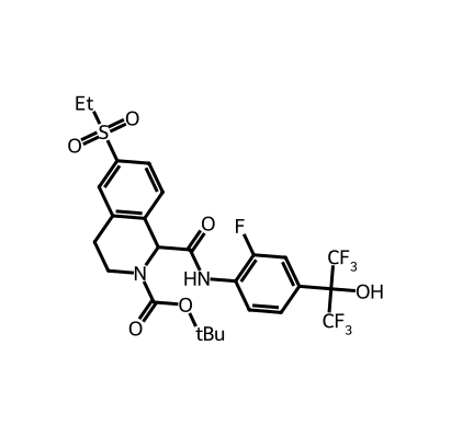 CCS(=O)(=O)c1ccc2c(c1)CCN(C(=O)OC(C)(C)C)C2C(=O)Nc1ccc(C(O)(C(F)(F)F)C(F)(F)F)cc1F